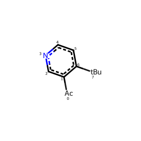 CC(=O)c1cnccc1C(C)(C)C